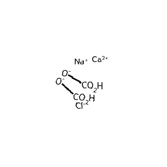 O=C([O-])O.O=C([O-])O.[Ca+2].[Cl-].[Na+]